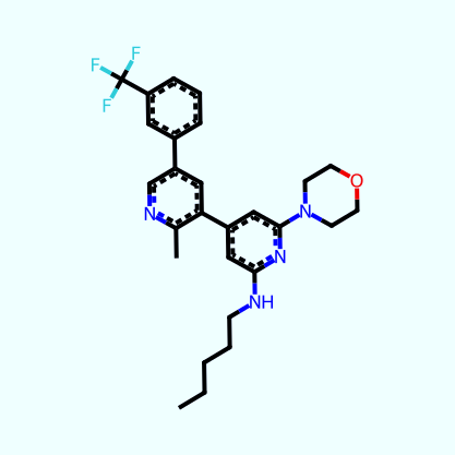 CCCCCNc1cc(-c2cc(-c3cccc(C(F)(F)F)c3)cnc2C)cc(N2CCOCC2)n1